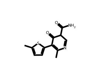 CC1=C(c2ccc(C)s2)C(=O)C(C(N)=O)C=N1